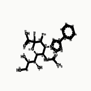 CC(=O)N[C@H]1[C@H]([C@H](O)[C@H](O)CO)OC(F)(C(=O)O)C(F)[C@@H]1n1cc(-c2ccccc2)nn1